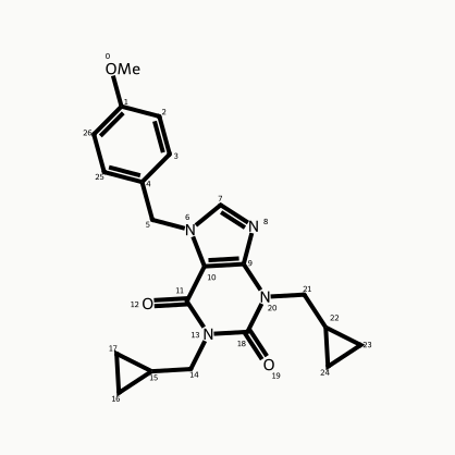 COc1ccc(Cn2cnc3c2c(=O)n(CC2CC2)c(=O)n3CC2CC2)cc1